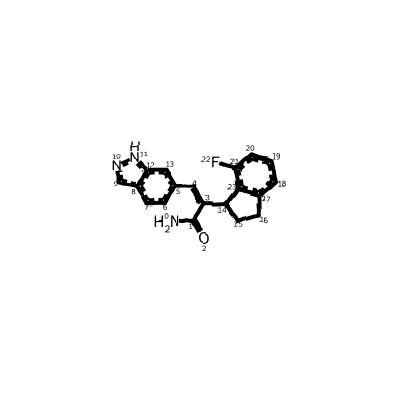 NC(=O)C(=Cc1ccc2cn[nH]c2c1)C1CCc2cccc(F)c21